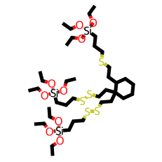 CCO[Si](CCCSCCC1CCCCC1(CCSSCCC[Si](OCC)(OCC)OCC)CCSSCCC[Si](OCC)(OCC)OCC)(OCC)OCC